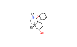 CCN1CC[C@@]2(CC)C[C@@H](O)CCC2(c2ccccc2)C1=O